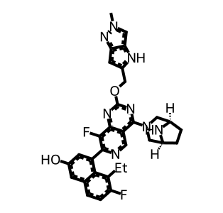 CCc1c(F)ccc2cc(O)cc(-c3ncc4c(N5C[C@H]6CC[C@@H](C5)N6)nc(OCc5cc6nn(C)cc6[nH]5)nc4c3F)c12